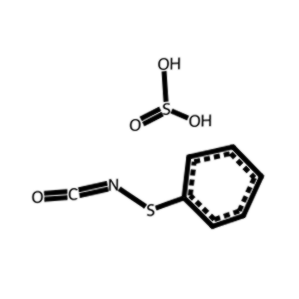 O=C=NSc1ccccc1.O=S(O)O